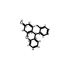 Cc1ccccc1C1C2=C(CC(=O)C=C2)Oc2ccccc21